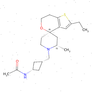 CCc1cc2c(s1)CCO[C@@]21CCN(C[C@H]2C[C@@H](NC(C)=O)C2)[C@@H](C)C1